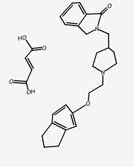 O=C(O)C=CC(=O)O.O=C1c2ccccc2CN1CC1CCN(CCOc2ccc3c(c2)CCC3)CC1